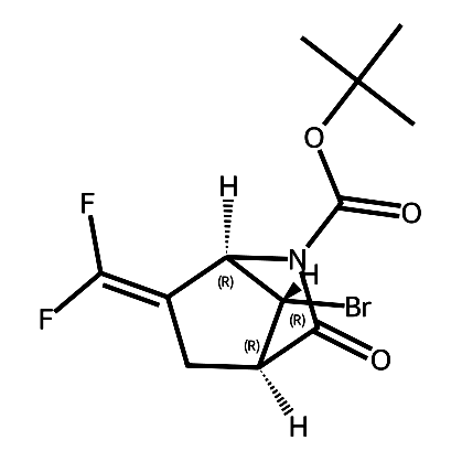 CC(C)(C)OC(=O)N1C(=O)[C@H]2CC(=C(F)F)[C@@H]1[C@@H]2Br